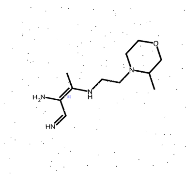 C/C(NCCN1CCOCC1C)=C(\N)C=N